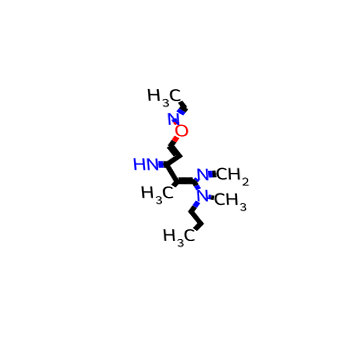 C=N/C(=C(/C)C(=N)/C=C/O/N=C/C)N(C)CCC